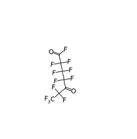 O=C(F)C(F)(F)C(F)(F)C(F)(F)C(=O)C(F)(F)C(F)(F)F